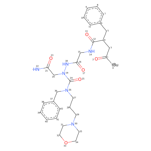 CC(C)(C)C(=O)CC(Cc1ccccc1)C(=O)NCC(=O)NN(CC([NH])=O)C(=O)N(CCCN1CCOCC1)Cc1ccccc1